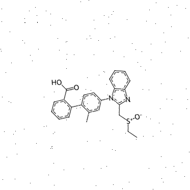 CC[S+]([O-])Cc1nc2ccccc2n1-c1ccc(-c2ccccc2C(=O)O)c(C)c1